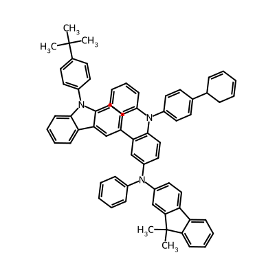 CC(C)(C)c1ccc(-n2c3ccccc3c3cc(-c4cc(N(c5ccccc5)c5ccc6c(c5)C(C)(C)c5ccccc5-6)ccc4N(c4ccccc4)c4ccc(C5C=CC=CC5)cc4)ccc32)cc1